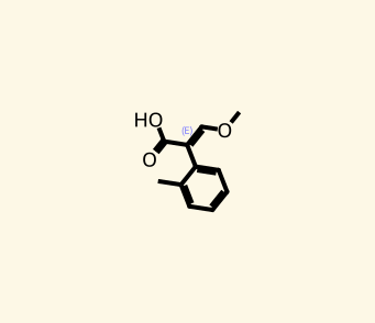 CO/C=C(/C(=O)O)c1ccccc1C